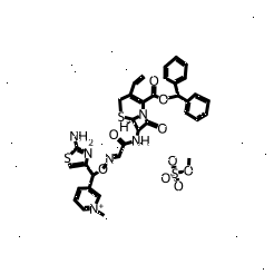 C=CC1=C(C(=O)OC(c2ccccc2)c2ccccc2)N2C(=O)C(NC(=O)C=NOC(c3ccc[n+](C)c3)c3csc(N)n3)[C@H]2SC1.COS(=O)(=O)[O-]